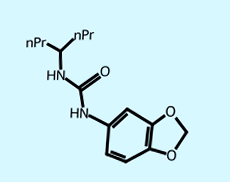 CCCC(CCC)NC(=O)Nc1ccc2c(c1)OCO2